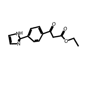 CCOC(=O)CC(=O)c1ccc(-c2ncc[nH]2)cc1